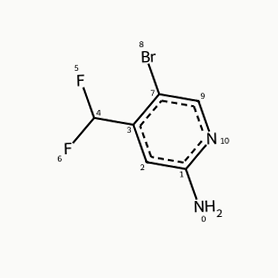 Nc1cc(C(F)F)c(Br)cn1